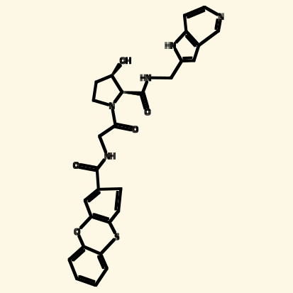 O=C(NCC(=O)N1CC[C@@H](O)[C@H]1C(=O)NCc1cc2cnccc2[nH]1)c1ccc2c(c1)Oc1ccccc1S2